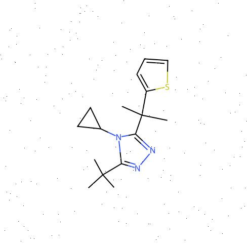 CC(C)(C)c1nnc(C(C)(C)c2cccs2)n1C1CC1